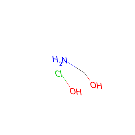 NCO.OCl